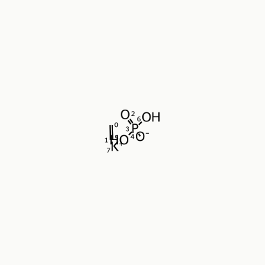 C=C.O=P([O-])(O)O.[K+]